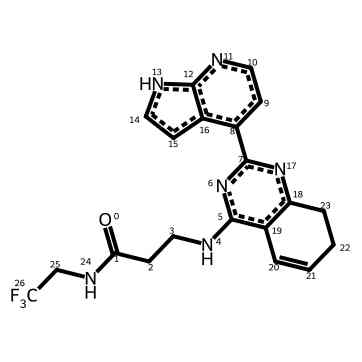 O=C(CCNc1nc(-c2ccnc3[nH]ccc23)nc2c1C=CCC2)NCC(F)(F)F